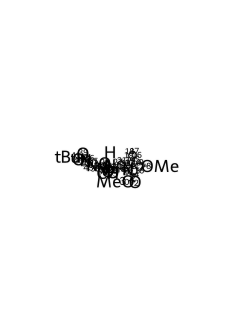 COC(=O)C1=Cc2cc(OC)ccc2-c2c(C3CCCCC3)c3ccc(C(=O)NS(=O)(=O)N(C)CCN4CCN(C(=O)OC(C)(C)C)CC4)cc3n2C1